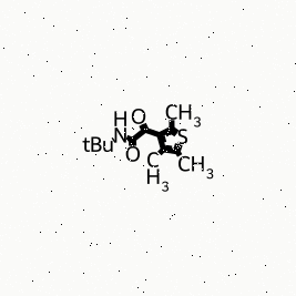 Cc1sc(C)c(C(=O)C(=O)NC(C)(C)C)c1C